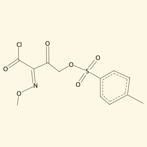 CON=C(C(=O)Cl)C(=O)COS(=O)(=O)c1ccc(C)cc1